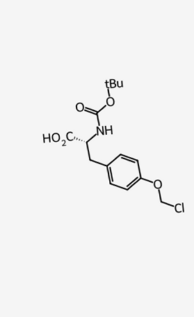 CC(C)(C)OC(=O)N[C@H](Cc1ccc(OCCl)cc1)C(=O)O